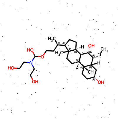 CC[C@H]1[C@@H](O)C2[C@@H]3CC[C@H]([C@H](C)CCOC(O)N(CCO)CCO)[C@@]3(C)CC[C@@H]2[C@@]2(C)CC[C@@H](O)C[C@@H]12